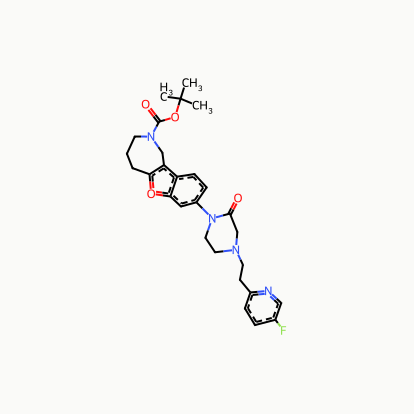 CC(C)(C)OC(=O)N1CCCc2oc3cc(N4CCN(CCc5ccc(F)cn5)CC4=O)ccc3c2C1